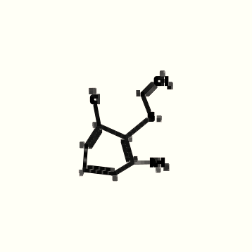 C=CSc1c(N)cccc1Cl